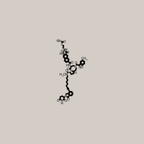 Cc1ccc2onc(C(=O)N3CC[C@H]4CC[C@@H](C(=O)N(C)CCCCCCC#Cc5cccc6c5CN(C5CCC(=O)NC5=O)C6=O)N4C(=O)[C@@H](NC(=O)c4ccc5ccc(C(F)(F)P(=O)(O)OCCSC(=O)C(C)(C)C)cc5c4)C3)c2c1